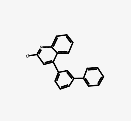 Clc1cc(-c2cccc(-c3ccccc3)c2)c2ccccc2n1